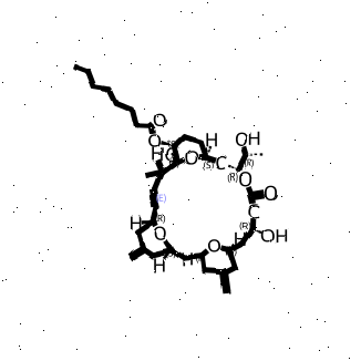 C=C1C[C@@H]2C[C@@H]3CC(=C)C[C@H](/C=C/C(C)(C)[C@]4(O)O[C@@H](CC[C@@H]4OC(=O)CCCCCCC)C[C@H]([C@@H](C)O)OC(=O)C[C@H](O)C[C@H](C1)O2)O3